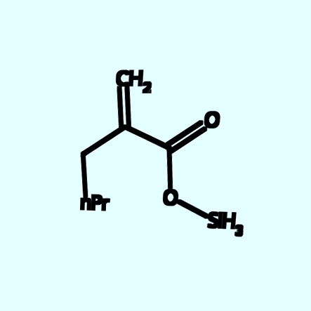 C=C(CCCC)C(=O)O[SiH3]